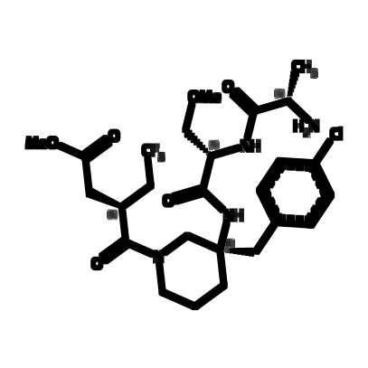 COC[C@H](NC(=O)[C@H](C)N)C(=O)N[C@@]1(Cc2ccc(Cl)cc2)CCCN(C(=O)[C@@H](CC(=O)OC)CC(F)(F)F)C1